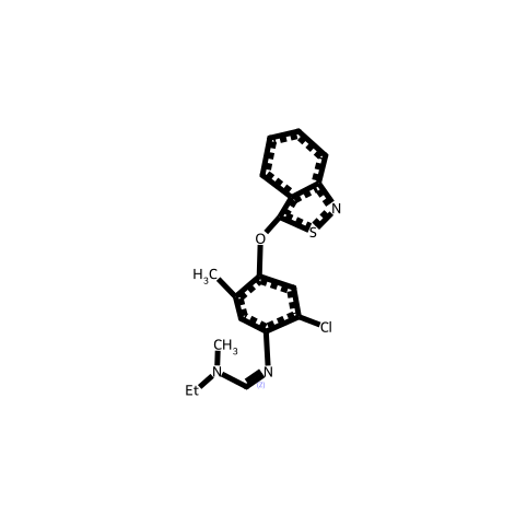 CCN(C)/C=N\c1cc(C)c(Oc2snc3ccccc23)cc1Cl